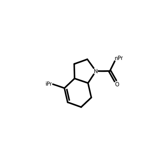 CCCC(=O)N1CCC2C(C(C)C)=CCCC21